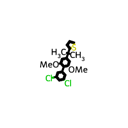 COc1cc(C(C)(C)c2cccs2)cc(OC)c1-c1cc(Cl)cc(Cl)c1